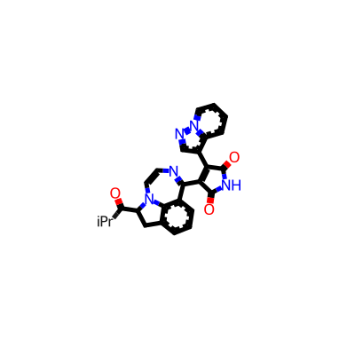 CC(C)C(=O)C1Cc2cccc3c2N1C=CN=C3C1=C(c2cnn3ccccc23)C(=O)NC1=O